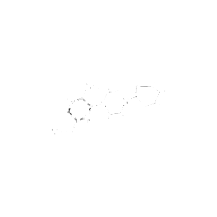 COc1ccc([N+](=O)[O-])c(N2CCN(C3CCCCC3)CC2)n1